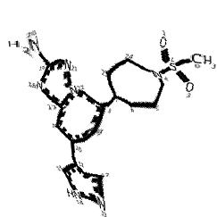 CS(=O)(=O)N1CCC(c2cc(-c3cn[nH]c3)cc3nc(N)nn23)CC1